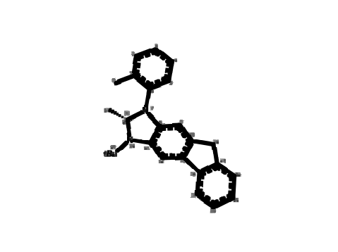 Cc1ccccc1N1c2cc3c(cc2N(C(C)(C)C)[C@@H]1C)-c1ccccc1C3